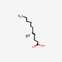 CCCCCCCCCCC(=O)O.[KH]